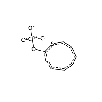 [O-][Cl+3]([O-])([O-])Oc1cccccccs1